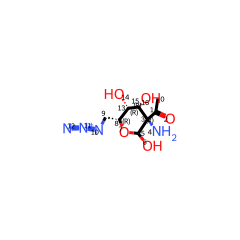 CC(=O)[C@]1(N)C(O)O[C@H](CN=[N+]=[N-])[C@H](O)[C@@H]1O